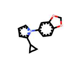 [c]1cc(C2CC2)n(-c2ccc3c(c2)OCO3)c1